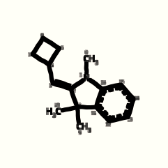 CN1C(=CC2CCC2)C(C)(C)c2ccccc21